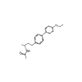 CCOc1ccc(-c2ccc(CCC(C)NC(C)=O)cc2)cc1